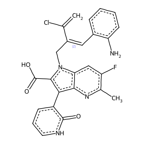 C=C(Cl)/C(=C\c1ccccc1N)Cn1c(C(=O)O)c(-c2ccc[nH]c2=O)c2nc(C)c(F)cc21